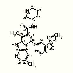 CCS(=O)(=O)c1cccc(C2=CC(C(=O)NC3CCCNC3)=C(C)C3Nc4ncc(C)cc4C23)c1